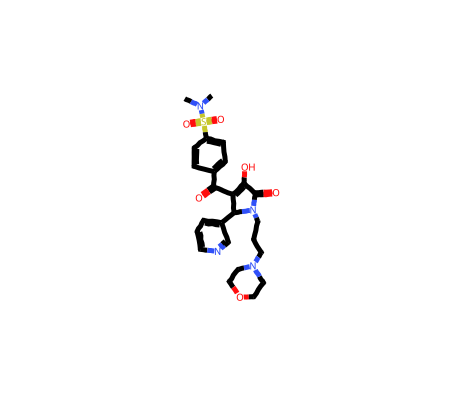 CN(C)S(=O)(=O)c1ccc(C(=O)C2=C(O)C(=O)N(CCCN3CCOCC3)C2c2cccnc2)cc1